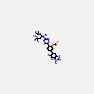 CN(c1ncc(-c2ccc(-c3cc4ncn(C)c4c(F)c3F)cc2OC=O)nn1)C1CC(C)(C)NC(C)(C)C1